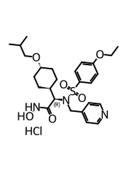 CCOc1ccc(S(=O)(=O)N(Cc2ccncc2)[C@@H](C(=O)NO)[C@H]2CC[C@H](OCC(C)C)CC2)cc1.Cl